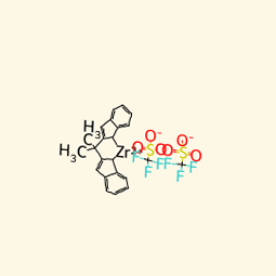 CC1(C)C2=Cc3ccccc3[CH]2[Zr+2][CH]2C1=Cc1ccccc12.O=S(=O)([O-])C(F)(F)F.O=S(=O)([O-])C(F)(F)F